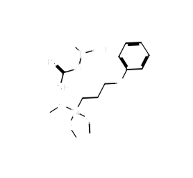 CO[Si](CCCOc1ccccc1)(OC)OC.N=C(N)OB(O)O